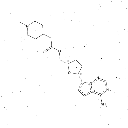 CN1CCC(CC(=O)OC[C@@H]2CC[C@H](c3ccc4c(N)ncnn34)O2)CC1